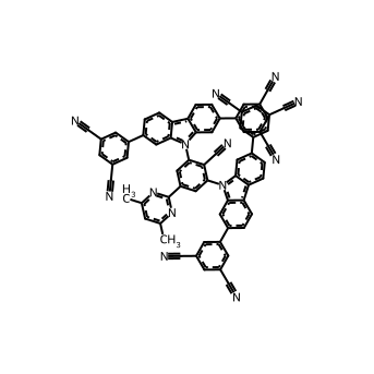 Cc1cc(C)nc(-c2cc(-n3c4cc(-c5cc(C#N)cc(C#N)c5)ccc4c4ccc(-c5cc(C#N)cc(C#N)c5)cc43)c(C#N)c(-n3c4cc(-c5cc(C#N)cc(C#N)c5)ccc4c4ccc(-c5cc(C#N)cc(C#N)c5)cc43)c2)n1